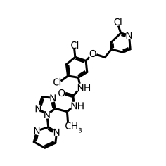 CC(NC(=O)Nc1cc(OCc2ccnc(Cl)c2)c(Cl)cc1Cl)c1ncnn1-c1ncccn1